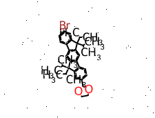 CC(C)C1(C(C)C)c2cc(Br)ccc2-c2cc3c(cc21)-c1ccc(C2OCCO2)cc1C3(C(C)C)C(C)C